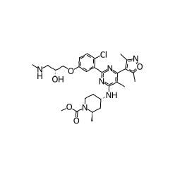 CNC[C@@H](O)COc1ccc(Cl)c(-c2nc(N[C@H]3CCN(C(=O)OC)[C@H](C)C3)c(C)c(-c3c(C)noc3C)n2)c1